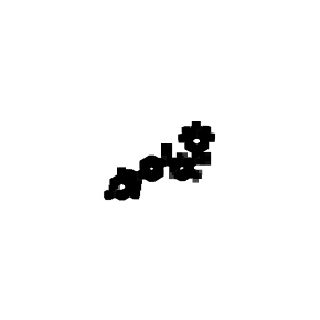 CN1CC2(C)CN(c3ccc(Nc4ncc(F)c(NC5CC(C)(C)N(C)C(C)(C)C5)n4)cc3)CC(C)(C1)C2